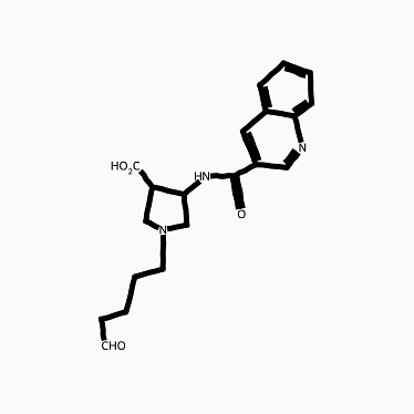 O=CCCCCN1CC(NC(=O)c2cnc3ccccc3c2)C(C(=O)O)C1